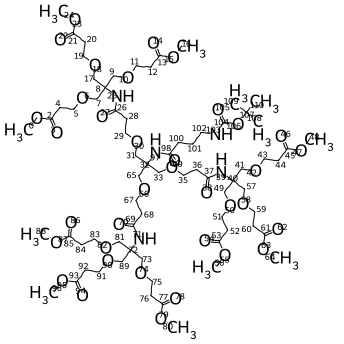 COC(=O)CCOCC(COCCC(=O)OC)(COCCC(=O)OC)NC(=O)CCOCC(COCCC(=O)NC(COCCC(=O)OC)(COCCC(=O)OC)COCCC(=O)OC)(COCCC(=O)NC(COCCC(=O)OC)(COCCC(=O)OC)COCCC(=O)OC)NC(=O)CCCNC(=O)OC(C)(C)C